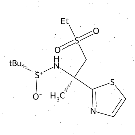 CCS(=O)(=O)C[C@](C)(N[S@+]([O-])C(C)(C)C)c1nccs1